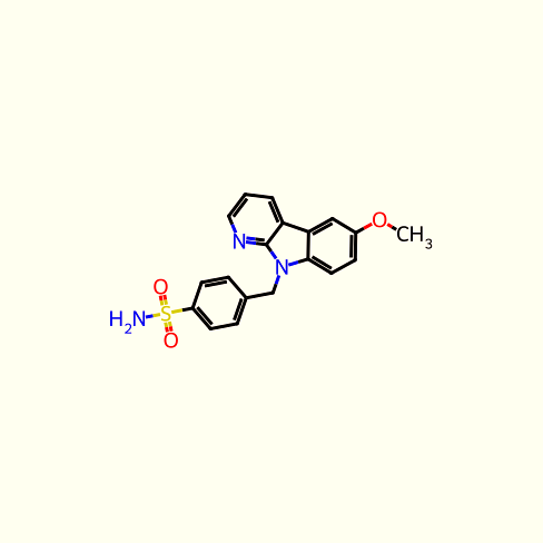 COc1ccc2c(c1)c1cccnc1n2Cc1ccc(S(N)(=O)=O)cc1